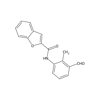 Cc1c(C=O)cccc1NC(=O)c1cc2ccccc2o1